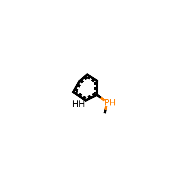 CPc1ccccc1.[HH]